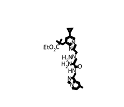 CCOC(=O)C(C)(C)Cc1cc(C2CC2)cn2cc(CN(N)/C=C(\N)C(=O)NCc3ncn4ccc(C)cc34)nc12